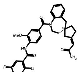 COc1cc(C(=O)N2CC[C@@]3(CCC(=CC(N)=O)C3)Cc3ccccc32)ccc1NC(=O)c1cc(F)ccc1Cl